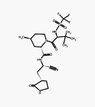 C[C@H]1CCN(C(=O)[C@@H](NS(=O)(=O)C(F)(F)F)C(C)(C)C)[C@H](C(=O)N[C@H](C#N)C[C@@H]2CCNC2=O)C1